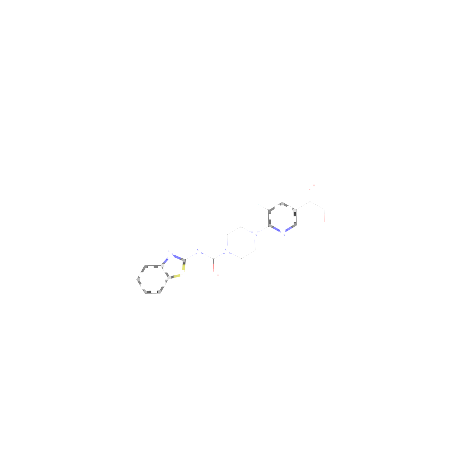 C[C@H](O)[C@@H](O)c1cnc(N2CCN(C(O)Nc3nc4ccccc4s3)C[C@H]2C)c(F)c1